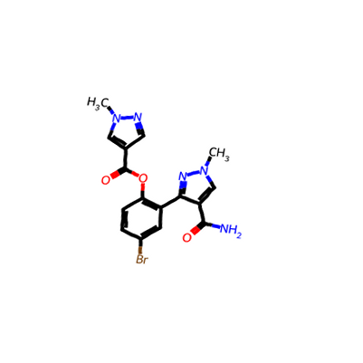 Cn1cc(C(=O)Oc2ccc(Br)cc2-c2nn(C)cc2C(N)=O)cn1